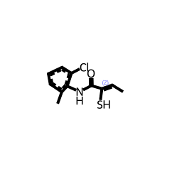 C/C=C(\S)C(=O)Nc1c(C)cccc1Cl